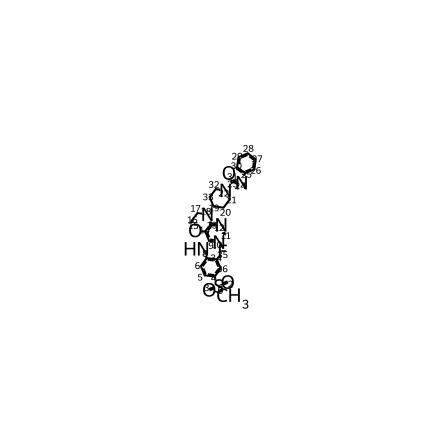 CS(=O)(=O)c1ccc(Nc2ncnc3c2OCCN3C2CCN(c3nc4ccccc4o3)CC2)c(F)c1